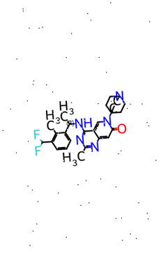 Cc1nc(N[C@H](C)c2cccc(C(F)F)c2C)c2cn(C34CCN(CC3)CC4)c(=O)cc2n1